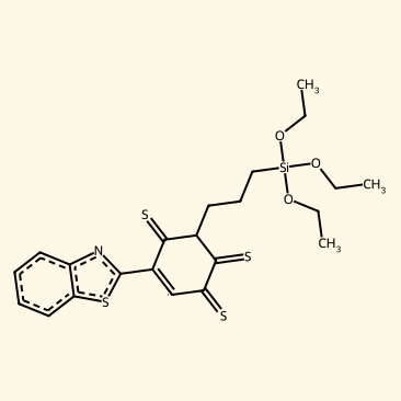 CCO[Si](CCCC1C(=S)C(=S)[C]=C(c2nc3ccccc3s2)C1=S)(OCC)OCC